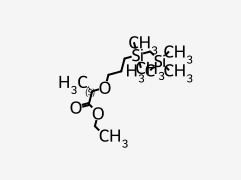 CCOC(=O)[C@H](C)OCCC[Si](C)(C)C[Si](C)(C)C